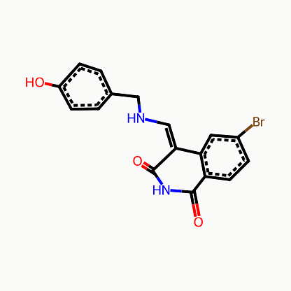 O=C1NC(=O)c2ccc(Br)cc2/C1=C/NCc1ccc(O)cc1